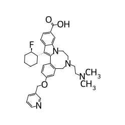 CN(C)CCN1CCn2c(c([C@@H]3CCCC[C@H]3F)c3ccc(C(=O)O)cc32)-c2ccc(OCc3cccnc3)cc2C1